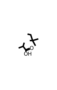 CC(C)C(=O)O.CCC(C)(C)C